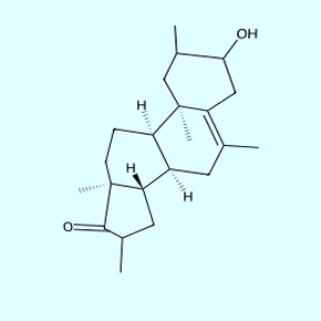 CC1=C2CC(O)C(C)C[C@]2(C)[C@@H]2CC[C@]3(C)C(=O)C(C)C[C@H]3[C@@H]2C1